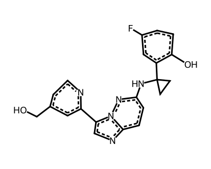 OCc1ccnc(-c2cnc3ccc(NC4(c5cc(F)ccc5O)CC4)nn23)c1